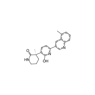 Cc1cccc2ncc(-c3ccc([C@@]4(C)CCCNC4=O)c(O)n3)cc12